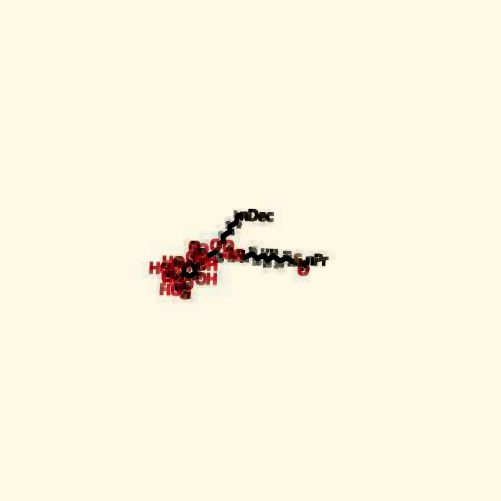 CCCCCCCCCCCCCCCC(=O)O[C@H](COCOCCCCCCCCCSC(=O)CCC)COP(=O)(O)OC1C(O)[C@H](O)C(OP(=O)(O)O)[C@H](OP(=O)(O)O)[C@@H]1O